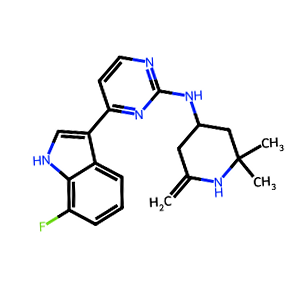 C=C1CC(Nc2nccc(-c3c[nH]c4c(F)cccc34)n2)CC(C)(C)N1